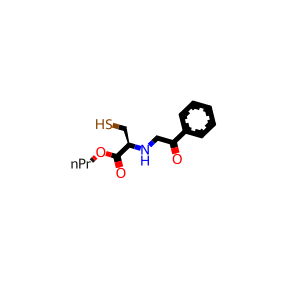 CCCOC(=O)[C@@H](CS)NCC(=O)c1ccccc1